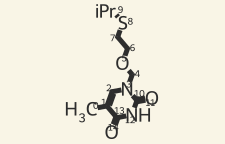 Cc1cn(COCCSC(C)C)c(=O)[nH]c1=O